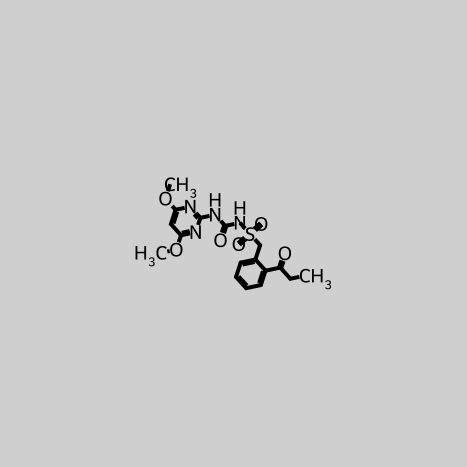 CCC(=O)c1ccccc1CS(=O)(=O)NC(=O)Nc1nc(OC)cc(OC)n1